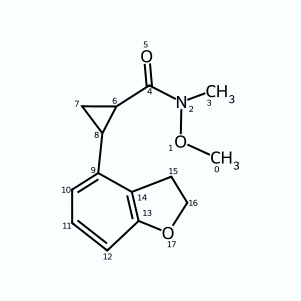 CON(C)C(=O)C1CC1c1cccc2c1CCO2